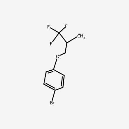 CC(COc1ccc(Br)cc1)C(F)(F)F